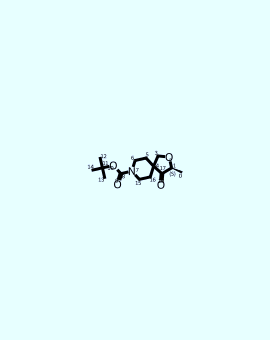 C[C@@H]1OCC2(CCN(C(=O)OC(C)(C)C)CC2)C1=O